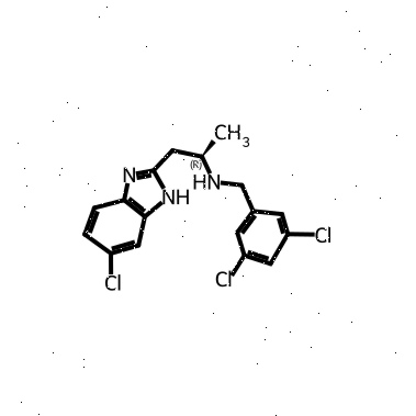 C[C@H](Cc1nc2ccc(Cl)cc2[nH]1)NCc1cc(Cl)cc(Cl)c1